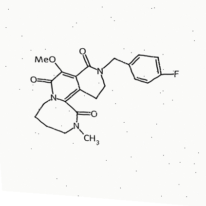 COc1c2c(c3n(c1=O)CCCCN(C)C3=O)CCN(Cc1ccc(F)cc1)C2=O